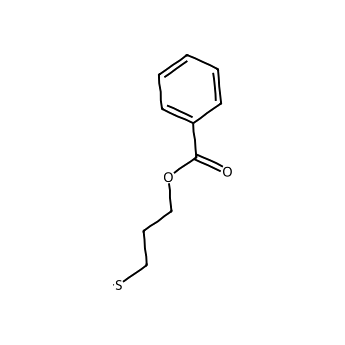 O=C(OCCC[S])c1ccccc1